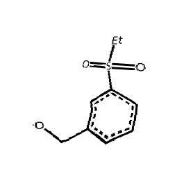 CCS(=O)(=O)c1cccc(C[O])c1